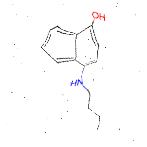 CCCCNc1ccc(O)c2ccccc12